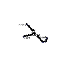 CCCCC/C=C\C/C=C\C/C=C\CCCCCCC(=O)OC[C@@H](COC(=O)CCCCCCC/C=C\CCCCCC)OC(=O)CCCCCCC/C=C\CCCCCCCC